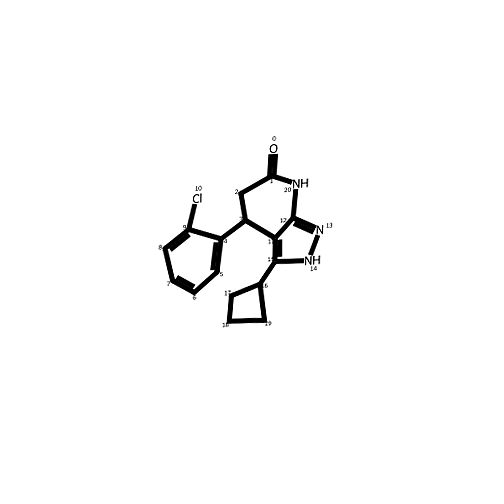 O=C1CC(c2ccccc2Cl)c2c(n[nH]c2C2CCC2)N1